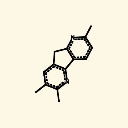 Cc1ccc2c(n1)Cc1cc(C)c(C)nc1-2